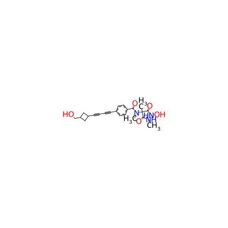 CNC(=O)C(C)(C(=O)NO)N(C)C(=O)c1ccc(C#CC#CC2CC(CO)C2)cc1